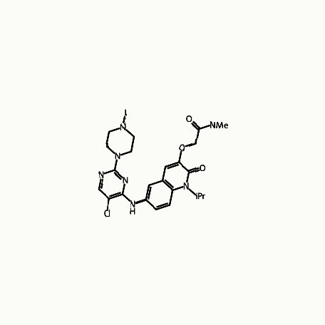 CNC(=O)COc1cc2cc(Nc3nc(N4CCN(I)CC4)ncc3Cl)ccc2n(C(C)C)c1=O